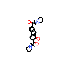 CC(C)(C(=O)C1=CC=C2C(=Cc3cc(C(=O)C(C)(C)N4CCCCC4)ccc32)C1=O)N1CCCCC1